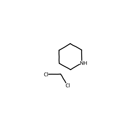 C1CCNCC1.ClCCl